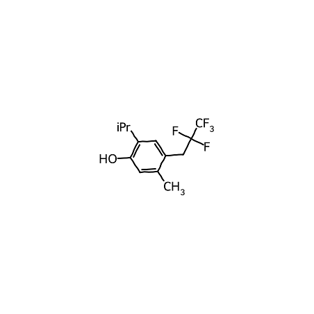 Cc1cc(O)c(C(C)C)cc1CC(F)(F)C(F)(F)F